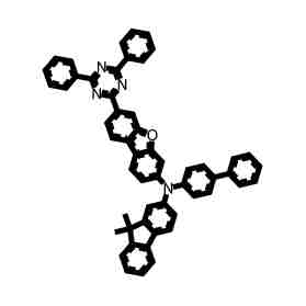 CC1(C)c2ccccc2-c2ccc(N(c3ccc(-c4ccccc4)cc3)c3ccc4c(c3)oc3cc(-c5nc(-c6ccccc6)nc(-c6ccccc6)n5)ccc34)cc21